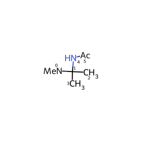 CNC(C)(C)NC(C)=O